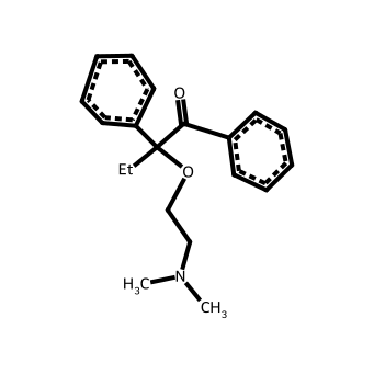 CCC(OCCN(C)C)(C(=O)c1ccccc1)c1ccccc1